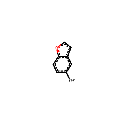 [CH2]CCc1ccc2occc2c1